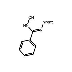 CCCCCN=C(NO)c1ccccc1